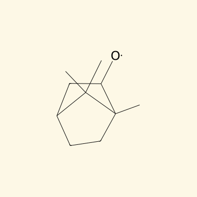 CC1(C)C2CCC1(C)C([O])C2